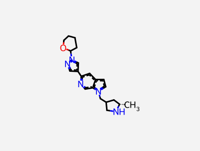 C[C@H]1CC(Cn2ccc3cc(-c4cnn(C5CCCCO5)c4)ncc32)CN1